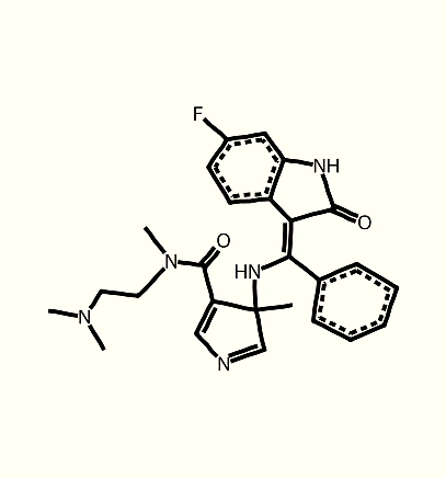 CN(C)CCN(C)C(=O)C1=CN=CC1(C)NC(=C1C(=O)Nc2cc(F)ccc21)c1ccccc1